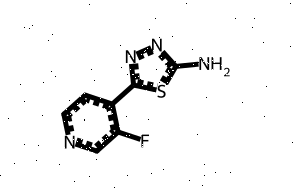 Nc1nnc(-c2ccncc2F)s1